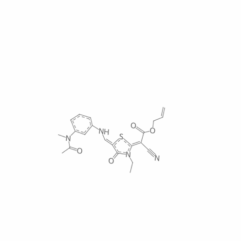 C=CCOC(=O)C(C#N)=c1sc(=CNc2cccc(N(C)C(C)=O)c2)c(=O)n1CC